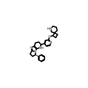 c1ccc([C@H]2CCc3nc4c(n32)NC(c2ccnc(OC3CCC35CCCNC5)c2)CC4)cc1